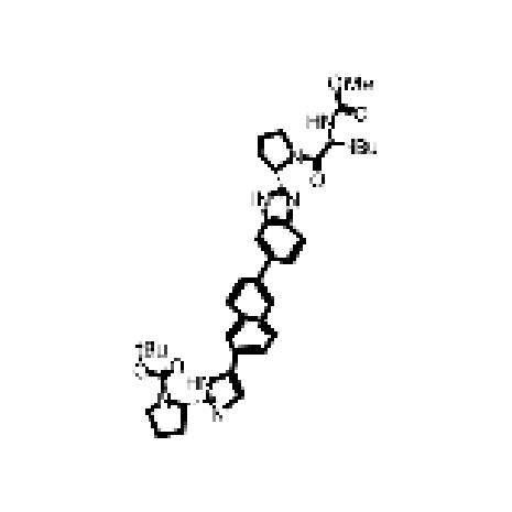 CC[C@H](C)[C@H](NC(=O)OC)C(=O)N1CCC[C@H]1c1nc2ccc(-c3ccc4cc(-c5cnc([C@@H]6CCCN6C(=O)OC(C)(C)C)[nH]5)ccc4c3)cc2[nH]1